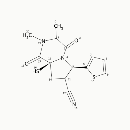 CC1C(=O)N2[C@@H](c3cccs3)C(C#N)C[C@]2(S)C(=O)N1C